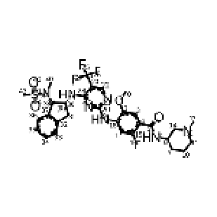 COc1cc(C(=O)NC2CCCN(C)C2)c(F)cc1Nc1ncc(C(F)(F)F)c(N[C@@H]2Cc3ccccc3[C@H]2N(C)S(C)(=O)=O)n1